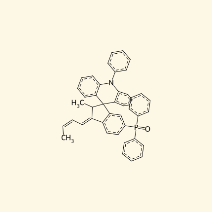 C/C=C\C=C1\c2ccc(P(=O)(c3ccccc3)c3ccccc3)cc2C2(c3ccccc3N(c3ccccc3)c3ccccc32)C1C